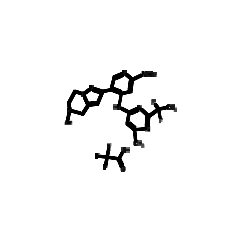 CC(=O)Nc1cc(Nc2cc(C)nc(C(C)(F)F)n2)c(-c2cc3n(n2)CCN(C(C)=O)C3)cn1.O=C(O)C(F)(F)F